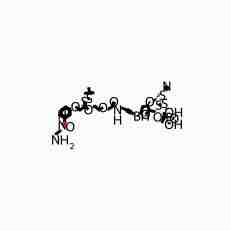 CSS[C@@H](CSC#N)O[C@@H]1C[C@H](BC#CCNC(=O)COCCOC(COc2cccc(C(=O)NCCN)c2)SSC(C)(C)C)OC1COC(C)(C)P(=O)(O)O